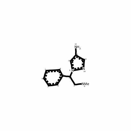 CNCC(c1ccccc1)n1cc(N)cn1